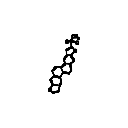 CS(=O)(=O)c1cc2cc3c(ccc4c5cc6ccoc6cc5ccc34)cc2o1